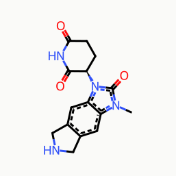 Cn1c(=O)n([C@@H]2CCC(=O)NC2=O)c2cc3c(cc21)CNC3